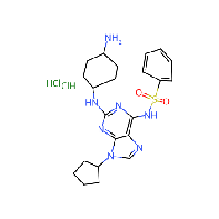 Cl.Cl.NC1CCC(Nc2nc(NS(=O)(=O)c3ccccc3)c3ncn(C4CCCC4)c3n2)CC1